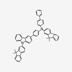 CC1(C)c2ccccc2-c2ccc(N(c3ccc(-c4ccccc4)cc3)c3ccc(-c4ccc5c(c4)c4ccccc4n5-c4ccc5c(c4)C(C)(C)c4ccccc4-5)cc3)cc21